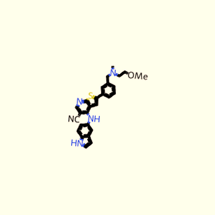 COCCN(C)Cc1cccc(-c2cc3c(Nc4ccc5[nH]ccc5c4)c(C#N)cnc3s2)c1